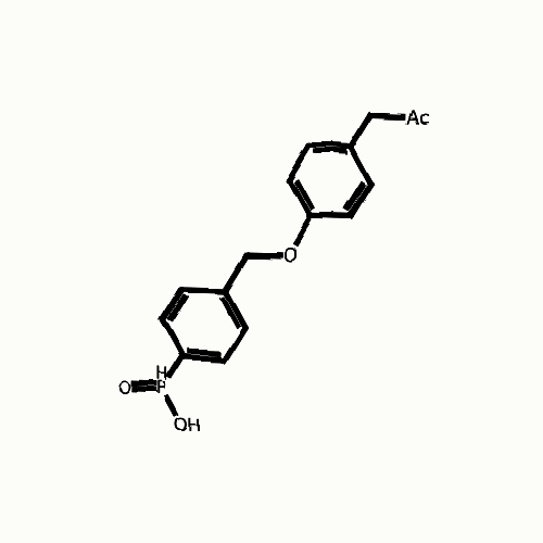 CC(=O)Cc1ccc(OCc2ccc([PH](=O)O)cc2)cc1